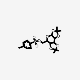 Cc1ccc(S(=O)(=O)OCC2OC3OC(C)(C)OC3C3OC(C)(C)OC23)cc1